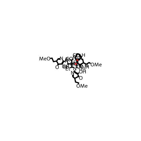 CCC(N(C(=O)O)C1=C(O)C(=O)C(CCOC)C=N1)C(C(CC)N(C(=O)O)C1=C(O)C(=O)C(CCOC)C=N1)(C(CC)N(C(=O)O)C1=C(O)C(=O)C(CCOC)C=N1)N(C(=O)O)c1ccccc1